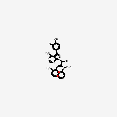 Cc1ccccc1/N=C(/C(C)n1nc(-c2ccc(O)c(F)c2)c2c(N)ncnc21)N(C=O)c1ccccc1